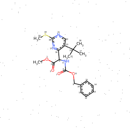 COC(=O)C(NC(=O)OCc1ccccc1)c1nc(SC)ncc1C(C)(C)C